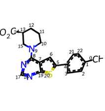 Cc1ccc(-c2cc3c(N4CCC[C@H](C(=O)O)C4)ncnc3s2)cc1